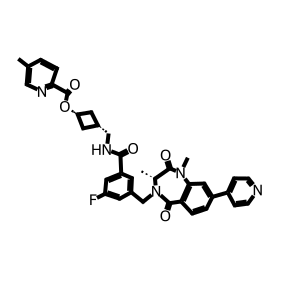 Cc1ccc(C(=O)O[C@H]2C[C@@H](CNC(=O)c3cc(F)cc(CN4C(=O)c5ccc(-c6ccncc6)cc5N(C)C(=O)[C@H]4C)c3)C2)nc1